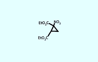 CCOC(=O)C1CC1(C(=O)OCC)[N+](=O)[O-]